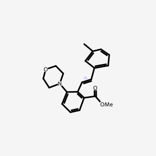 COC(=O)c1cccc(N2CCOCC2)c1/C=C/c1cccc(C)c1